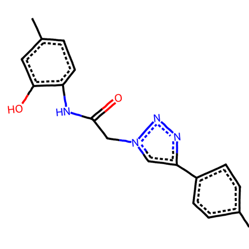 Cc1ccc(-c2cn(CC(=O)Nc3ccc(C)cc3O)nn2)cc1